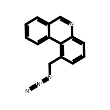 [N-]=[N+]=NCc1cccc2ncc3ccccc3c12